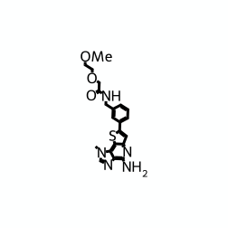 COCCOCC(=O)NCc1cccc(-c2cc3nc(N)c4ncn(C)c4c3s2)c1